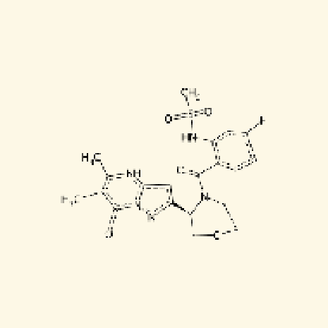 Cc1[nH]c2cc([C@@H]3CCCCN3C(=O)c3ccc(F)cc3NS(C)(=O)=O)nn2c(=O)c1C